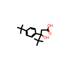 CC(C)(C)c1ccc(C(O)(CC(=O)O)C(C)(C)C)cc1